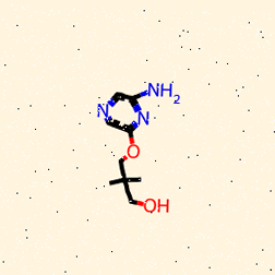 CC(C)(CO)COc1cncc(N)n1